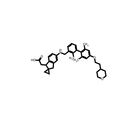 Cc1cc(OCCC2CCOCC2)cc(C)c1-c1cccc(CNc2ccc3c(c2)CC2(CC2)C3CC(=O)O)c1C